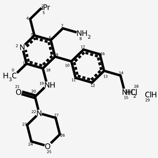 Cc1nc(CC(C)C)c(CN)c(-c2ccc(CN)cc2)c1NC(=O)N1CCOCC1.Cl.Cl